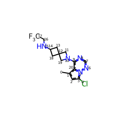 Cc1cc(Cl)n2ncnc(N3CC4(CC(NCC(F)(F)F)C4)C3)c12